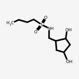 CCCCS(=O)(=O)NCC1[CH]C(O)CC1O